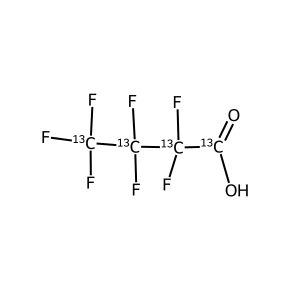 O=[13C](O)[13C](F)(F)[13C](F)(F)[13C](F)(F)F